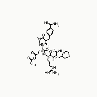 CN(C)C(=O)C(Cc1ccc(C(=N)N)cc1)C(=O)N[C@@H](CCC(=O)OC(=O)C(F)(F)F)C(=O)N[C@@H](CCCNC(=N)N)C(=O)N[C@@H](CC1CCCCC1)C(N)=O